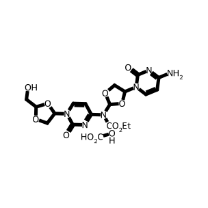 CCOC(=O)N(c1ccn(C2COC(CO)O2)c(=O)n1)C1OCC(n2ccc(N)nc2=O)O1.O=C(O)O